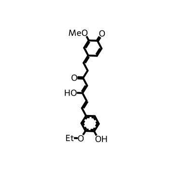 CCOc1cc(/C=C/C(O)=C/C(=O)C/C=C2\C=CC(=O)C(OC)=C2)ccc1O